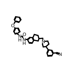 N#Cc1cccc(C2CCN(CC3CCc4cc(NC(=O)Nc5ccc(Oc6ccccc6)cc5)ccc4C3)CC2)c1